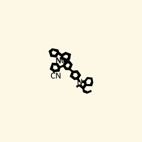 C/C=C\c1c2c(n(-c3ccc(-c4ccc(C#N)c(-c5cc(C#N)ccc5-n5c6ccccc6c6ccccc65)c4)cc3)c1C)CCC=C2